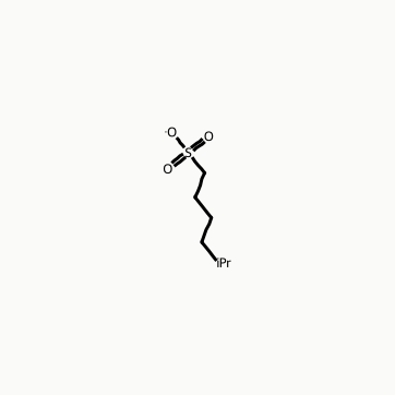 CC(C)CCCCS([O])(=O)=O